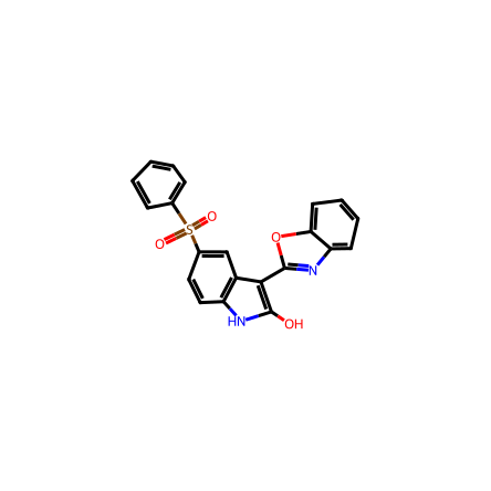 O=S(=O)(c1ccccc1)c1ccc2[nH]c(O)c(-c3nc4ccccc4o3)c2c1